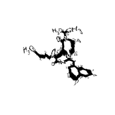 CCCCOc1c2n(c(Cc3cccc4ccccc34)nc1=O)CCN(C(C)C)C2=O